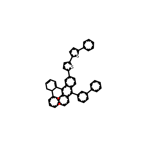 C1=CCC(c2ccccc2)C(c2c3ccccc3c(-c3cccc(-c4ccccc4)c3)c3ccc(-c4ccc(-c5ccc(-c6ccccc6)s5)s4)cc23)=C1